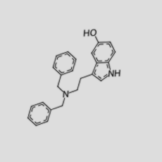 Oc1ccc2[nH]cc(CCN(Cc3ccccc3)Cc3ccccc3)c2c1